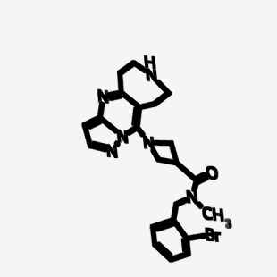 CN(Cc1ccccc1Br)C(=O)C1CN(c2c3c(nc4ccnn24)CCNCC3)C1